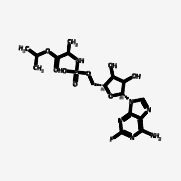 CC(C)OC(=O)C(C)NP(=O)(O)OC[C@H]1O[C@@H](n2cnc3c(N)nc(F)nc32)C(O)C1O